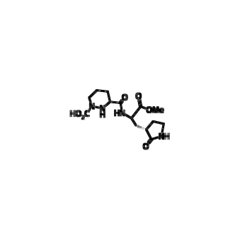 COC(=O)C(C[C@@H]1CCNC1=O)NC(=O)C1CCCN(C(=O)O)N1